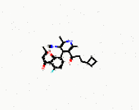 [C-]#[N+]C1=C(C)NC(C)=C(C(=O)CCC2CCC2)C1c1ccc(F)c2c(=O)cc(C)oc12